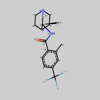 Cc1cc(C(F)(F)F)ccc1C(=O)N[C@H]1CN2CCC1CC2